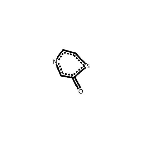 O=c1cnccs1